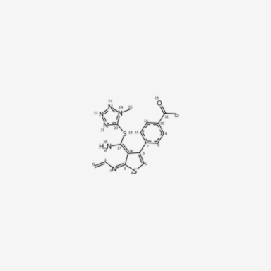 C=C/N=C1/SC=C(c2ccc(C(C)=O)cc2)/C1=C(/N)Sc1nnnn1C